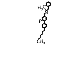 CCCCCCCc1ccc(-c2ccc(C=NN=Cc3ccccc3C)cc2F)cc1